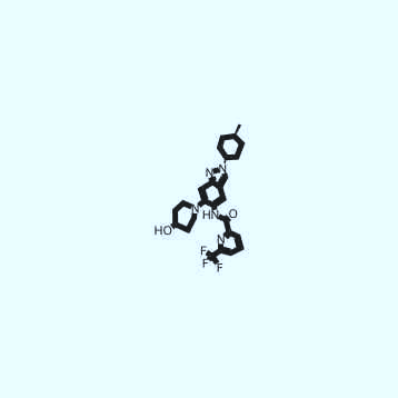 C[C@H]1CC[C@H](n2cc3cc(NC(=O)c4cccc(C(F)(F)F)n4)c(N4CCC(O)CC4)cc3n2)CC1